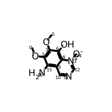 COc1c(OC)c(O)c2c(cnc[n+]2[O-])c1N